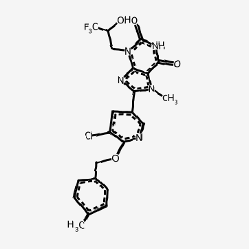 Cc1ccc(COc2ncc(-c3nc4c(c(=O)[nH]c(=O)n4CC(O)C(F)(F)F)n3C)cc2Cl)cc1